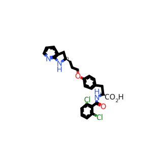 O=C(N[C@@H](Cc1ccc(OCCC[C@@H]2Cc3cccnc3N2)cc1)C(=O)O)c1c(Cl)cccc1Cl